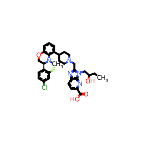 CCC(O)Cn1c(CN2CCC(c3cccc4c3N(C)[C@@H](c3ccc(Cl)cc3F)CO4)CC2)nc2ccc(C(=O)O)nc21